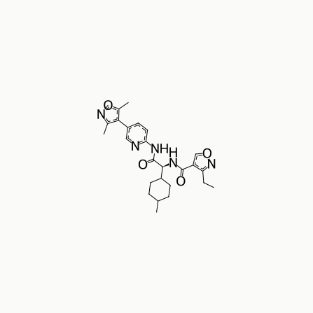 CCc1nocc1C(=O)N[C@H](C(=O)Nc1ccc(-c2c(C)noc2C)cn1)C1CCC(C)CC1